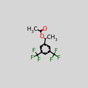 CC(=O)O[C@H](C)c1cc(C(F)(F)F)cc(C(F)(F)F)c1